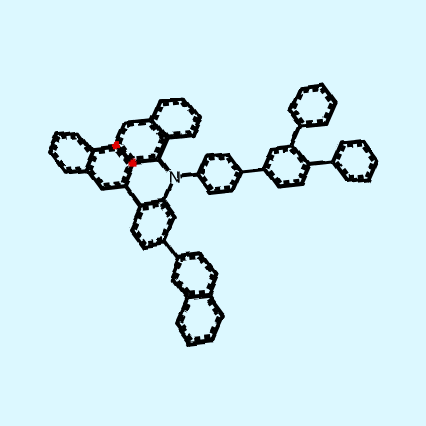 c1ccc(-c2ccc(-c3ccc(N(c4cc(-c5ccc6ccccc6c5)ccc4-c4ccc5ccccc5c4)c4cccc5ccccc45)cc3)cc2-c2ccccc2)cc1